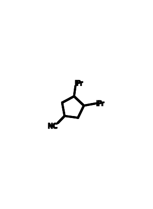 CC(C)C1CC(C#N)CC1C(C)C